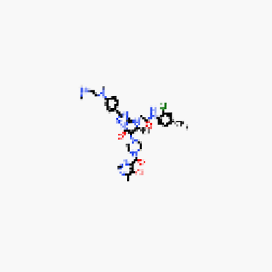 CCc1c(N2CCN(C(=O)c3ncnc(C)c3O)CC2)c(=O)n2nc(-c3ccc(N(C)CCN(C)C)cc3)nc2n1CC(=O)Nc1ccc(C(F)(F)F)cc1Cl